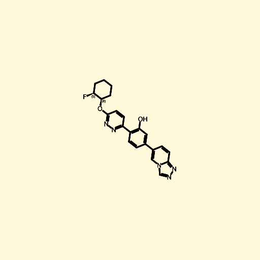 Oc1cc(-c2ccc3nncn3c2)ccc1-c1ccc(O[C@@H]2CCCC[C@@H]2F)nn1